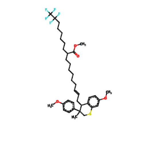 COC(=O)C(CCCCCCC=CCC1c2ccc(OC)cc2SCC1(C)c1ccc(OC)cc1)CCCCCCC(F)(F)C(F)(F)F